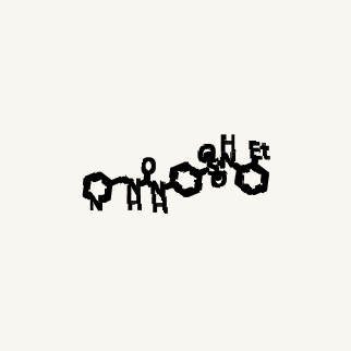 CCc1ccccc1NS(=O)(=O)c1ccc(NC(=O)NCc2cccnc2)cc1